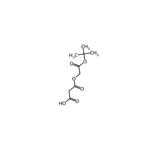 CC(C)(C)OC(=O)COC(=O)CC(=O)O